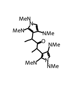 CNc1cn(NC)c(NC)c1C(C)C(=O)C(C)c1c(NC)cn(NC)c1NC